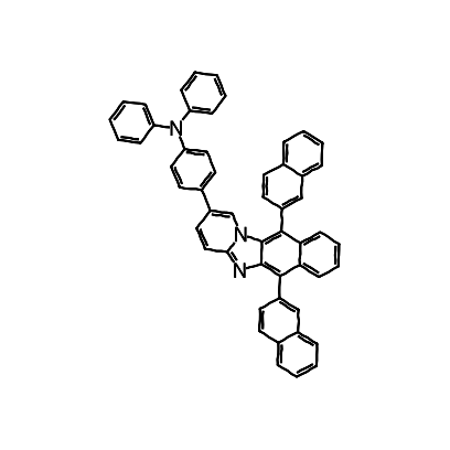 c1ccc(N(c2ccccc2)c2ccc(-c3ccc4nc5c(-c6ccc7ccccc7c6)c6ccccc6c(-c6ccc7ccccc7c6)c5n4c3)cc2)cc1